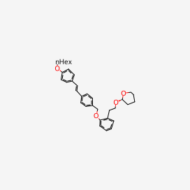 CCCCCCOc1ccc(C=Cc2ccc(COc3ccccc3CCO[C@@H]3CCCCO3)cc2)cc1